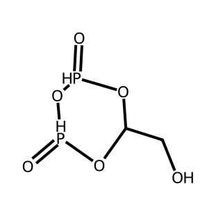 O=[PH]1OC(CO)O[PH](=O)O1